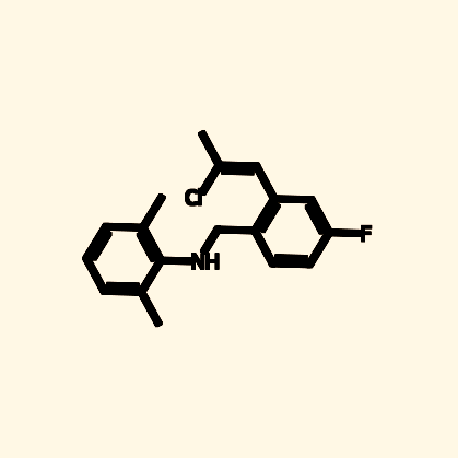 C/C(Cl)=C/c1cc(F)ccc1CNc1c(C)cccc1C